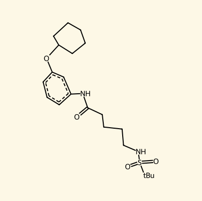 CC(C)(C)S(=O)(=O)NCCCCC(=O)Nc1cccc(OC2CCCCC2)c1